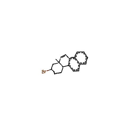 CC12C=Cc3c(ccc4ccccc34)C1CCC(Br)C2